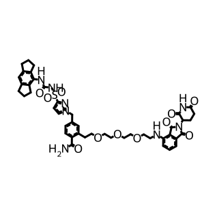 NC(=O)c1ccc(Cn2ccc(S(=O)(=O)NC(=O)Nc3c4c(cc5c3CCC5)CCC4)n2)cc1CCOCCOCCOCCNc1cccc2c1C(=O)N(C1CCC(=O)NC1=O)C2=O